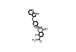 CCC(c1ccc(C(N)=O)c(F)c1CNc1ccc(Cc2c[nH]c3ncccc23)cn1)S(=O)(=O)O